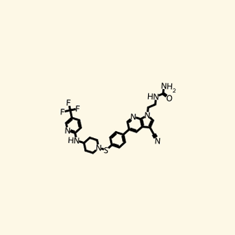 N#Cc1cn(CCNC(N)=O)c2ncc(-c3ccc(SN4CCC(Nc5ccc(C(F)(F)F)cn5)CC4)cc3)cc12